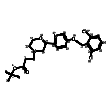 CC(C)(C)OC(=O)CCN1CCOC(c2ccc(OCc3c(Cl)cccc3Cl)cn2)C1